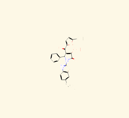 Cc1ccc(C(=O)C2=C(O)C(=O)N(c3nc4ccc([N+](=O)[O-])cc4s3)C2c2ccccc2)o1